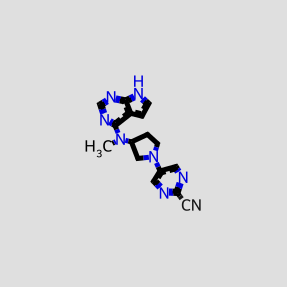 CN(c1ncnc2[nH]ccc12)C1CCN(c2cnc(C#N)nc2)C1